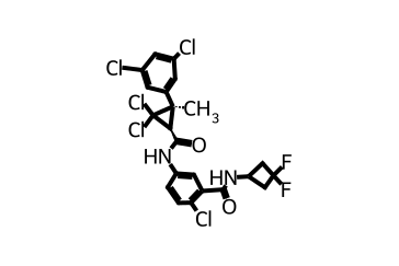 C[C@]1(c2cc(Cl)cc(Cl)c2)[C@@H](C(=O)Nc2ccc(Cl)c(C(=O)NC3CC(F)(F)C3)c2)C1(Cl)Cl